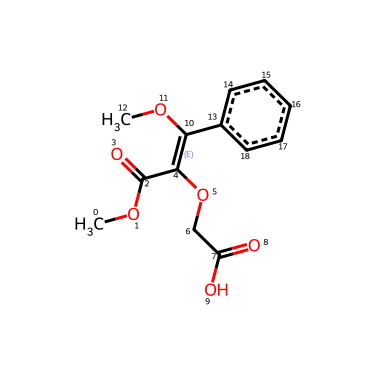 COC(=O)/C(OCC(=O)O)=C(\OC)c1ccccc1